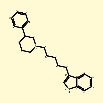 c1ccc(C2CCCN(CCCCCc3c[nH]c4ccccc34)C2)cc1